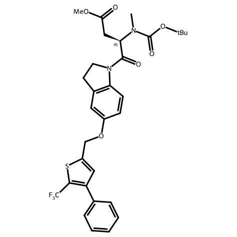 COC(=O)C[C@H](C(=O)N1CCc2cc(OCc3cc(-c4ccccc4)c(C(F)(F)F)s3)ccc21)N(C)C(=O)OC(C)(C)C